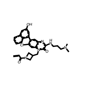 C=CC(=O)N1CC(Cn2c(=O)c(NCCCN(C)C)nc3cc(-c4cc(O)cc5ccccc45)c(Cl)cc32)C1